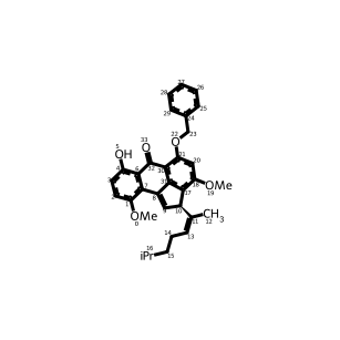 COc1ccc(O)c2c1C1=C[C@H](/C(C)=C\CCC(C)C)c3c(OC)cc(OCc4ccccc4)c(c31)C2=O